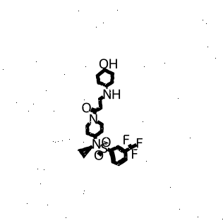 O=C(CCN[C@H]1CC[C@H](O)CC1)N1CCC(N(C2CC2)S(=O)(=O)c2cccc(C(F)(F)F)c2)CC1